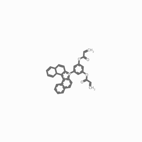 C=CC(=O)Oc1cc(OC(=O)C=C)cc(-n2c3c(c4c5ccccc5ccc42)C2C=CC=CC2C=C3)c1